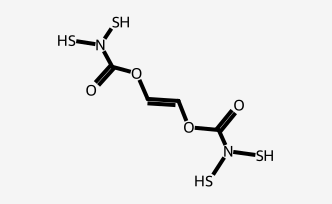 O=C(OC=COC(=O)N(S)S)N(S)S